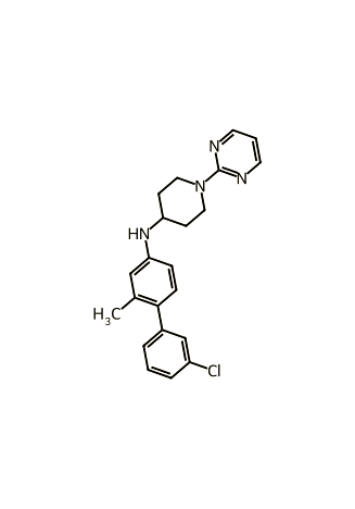 Cc1cc(NC2CCN(c3ncccn3)CC2)ccc1-c1cccc(Cl)c1